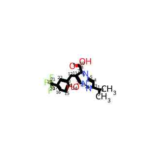 CC(C)c1cc2nc(C(=O)O)c(Cc3cccc(C(F)(F)F)c3)c(O)n2n1